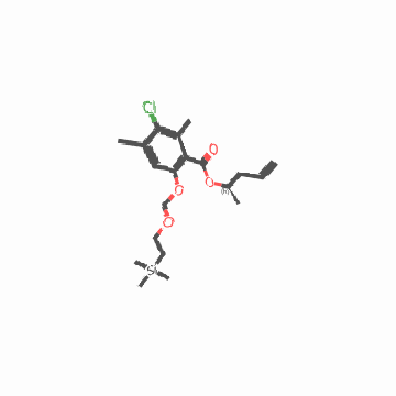 C=CC[C@@H](C)OC(=O)c1c(OCOCC[Si](C)(C)C)cc(C)c(Cl)c1C